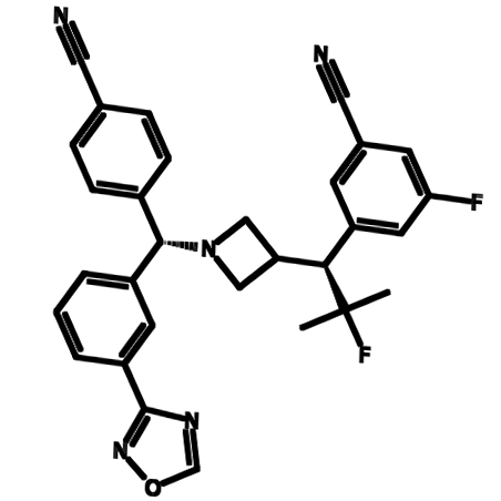 CC(C)(F)[C@H](c1cc(F)cc(C#N)c1)C1CN([C@@H](c2ccc(C#N)cc2)c2cccc(-c3ncon3)c2)C1